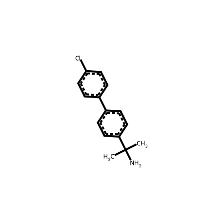 CC(C)(N)c1ccc(-c2ccc(Cl)cc2)cc1